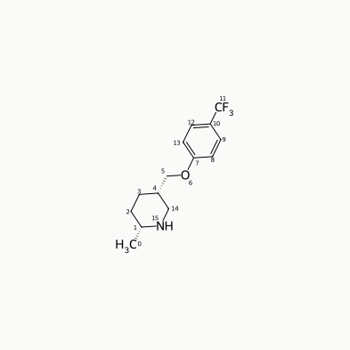 C[C@@H]1CC[C@H](COc2ccc(C(F)(F)F)cc2)CN1